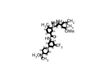 C=N/C=C(\C=C(/C)OC)C(/N)=C/N(N)c1cc(C(=O)Nc2cc(N3CCC(N(C)C)CC3)cc(C(F)(F)F)c2)ccc1C